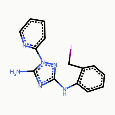 Nc1nc(Nc2ccccc2CI)nn1-c1ccccn1